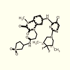 C[C@@H]1CN(c2ncc(Cl)c(Nc3ccc4c(c3)n(CCC(=O)NC3CCS(=O)(=O)C3)c(=O)c(=O)n4C)n2)C[C@H](C)C1(F)F